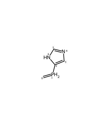 C=[PH2]c1cnc[nH]1